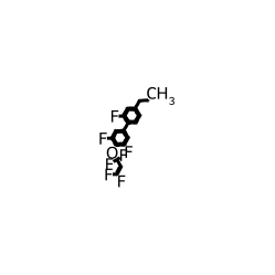 CCCc1ccc(-c2cc(F)c(OC(F)(F)C=C(F)F)c(F)c2)c(F)c1